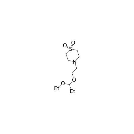 CCOC(CC)OCCN1CCS(=O)(=O)CC1